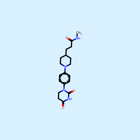 CNC(=O)CCC1CCN(c2ccc(N3CCC(=O)NC3=O)cc2)CC1